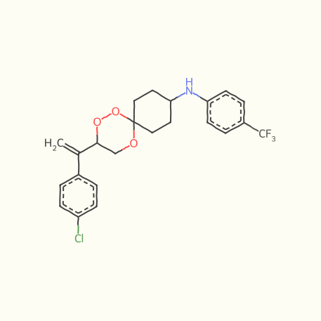 C=C(c1ccc(Cl)cc1)C1COC2(CCC(Nc3ccc(C(F)(F)F)cc3)CC2)OO1